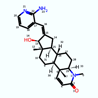 CN1C(=O)C=C[C@]2(C)[C@H]3CC[C@]4(C)[C@@H](O)/C(=C\c5cccnc5N)C[C@H]4[C@@H]3CC[C@@H]12